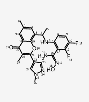 Cc1cc(C(C)Nc2ccc(F)c(F)c2C(N)=NO)c2oc(-c3cnn(C)c3)c(C)c(=O)c2c1